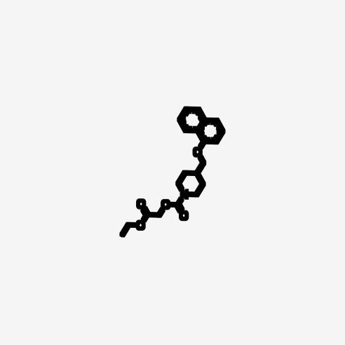 CCOC(=O)COC(=O)N1CCC(COc2cccc3ccccc23)CC1